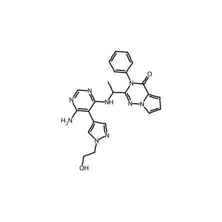 CC(Nc1ncnc(N)c1-c1cnn(CCO)c1)c1nn2cccc2c(=O)n1-c1ccccc1